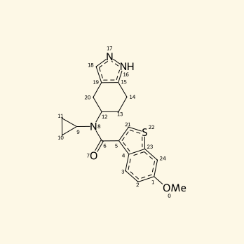 COc1ccc2c(C(=O)N(C3CC3)C3CCc4[nH]ncc4C3)csc2c1